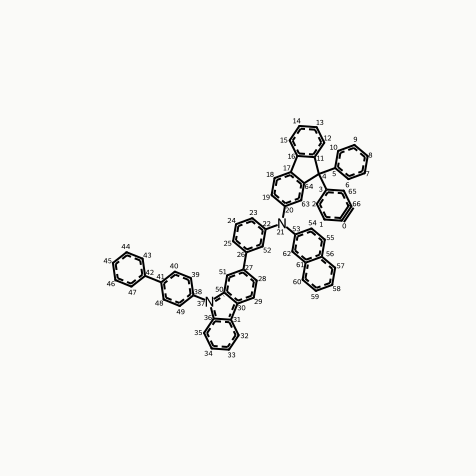 c1ccc(C2(c3ccccc3)c3ccccc3-c3ccc(N(c4cccc(-c5ccc6c7ccccc7n(-c7ccc(-c8ccccc8)cc7)c6c5)c4)c4ccc5ccccc5c4)cc32)cc#1